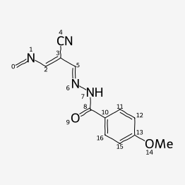 C=NC=C(C#N)C=NNC(=O)c1ccc(OC)cc1